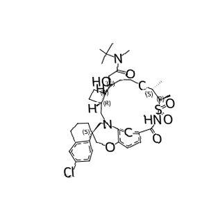 C[C@@H]1[C@@H](C)CCC[C@](O)(CC(=O)N(C)C(C)(C)C)[C@@H]2CC[C@H]2CN2C[C@@]3(CCCc4cc(Cl)ccc43)COc3ccc(cc32)C(=O)NS1(=O)=O